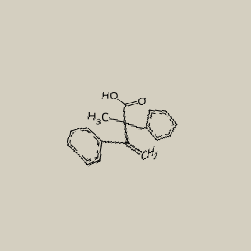 C=C(c1ccccc1)C(C)(C(=O)O)c1ccccc1